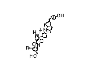 Cc1c(Nc2nccc3cc(CN4CCC(O)CC4)cnc23)cccc1-c1nccc(-c2nc3cc(CO)cc(C#N)c3o2)c1Cl